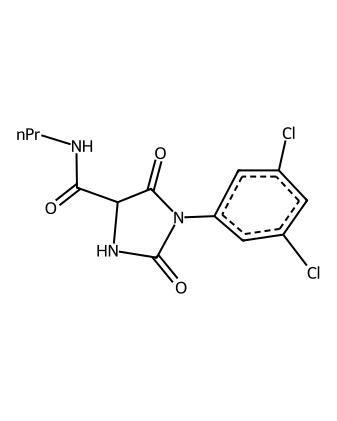 CCCNC(=O)C1NC(=O)N(c2cc(Cl)cc(Cl)c2)C1=O